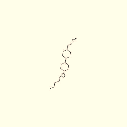 C=CCCC1CCC(C2CCC(OC=CCCC)CC2)CC1